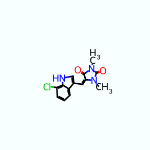 CN1C(=O)/C(=C\c2c[nH]c3c(Cl)cccc23)N(C)C1=O